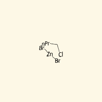 [Br][Zn][Br].[CH2]CCCCl